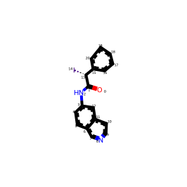 O=C(Nc1ccc2cnccc2c1)[C@H](I)c1ccccc1